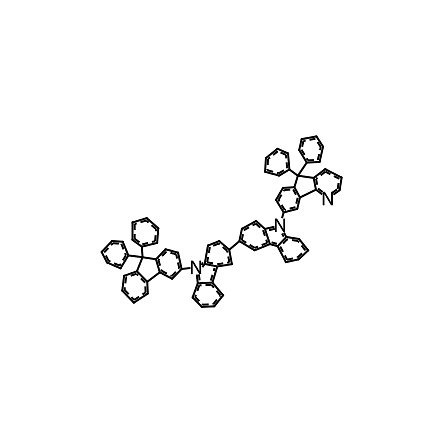 c1ccc(C2(c3ccccc3)c3ccccc3-c3cc(-n4c5ccccc5c5cc(-c6ccc7c(c6)c6ccccc6n7-c6ccc7c(c6)-c6ncccc6C7(c6ccccc6)c6ccccc6)ccc54)ccc32)cc1